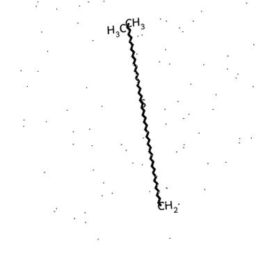 [CH2]CCCCCCCCCCCCCCCCCCCCCCCCCCCSCCCCCCCCCCCCCCCCCCCCC(C)C